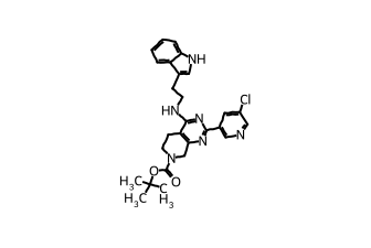 CC(C)(C)OC(=O)N1CCc2c(nc(-c3cncc(Cl)c3)nc2NCCc2c[nH]c3ccccc23)C1